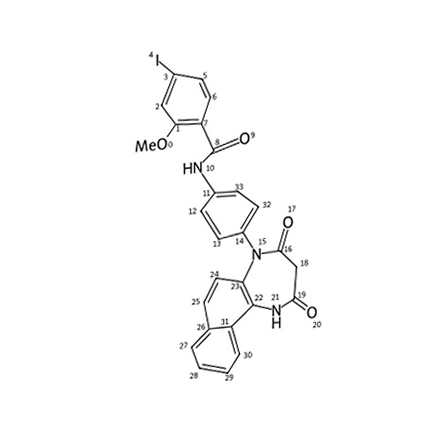 COc1cc(I)ccc1C(=O)Nc1ccc(N2C(=O)CC(=O)Nc3c2ccc2ccccc32)cc1